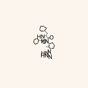 Cc1c(NC(=O)C(Cc2ccccc2)NC(=O)c2ccccc2)cccc1N1C=NNN1